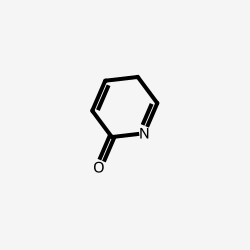 O=C1C=CCC=N1